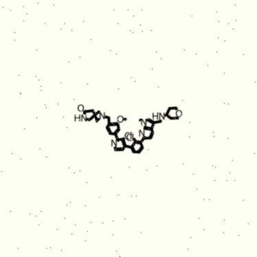 COc1cc(-c2nccc(-c3cccc(-c4ccc5c(CNC6CCOCC6)cn(C)c5n4)c3Cl)c2Cl)ccc1CN1CC2(CNC(=O)C2)C1